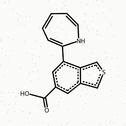 O=C(O)c1cc(C2=CC=CC=CN2)c2cscc2c1